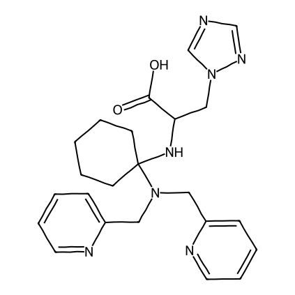 O=C(O)C(Cn1cncn1)NC1(N(Cc2ccccn2)Cc2ccccn2)CCCCC1